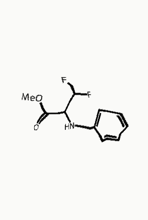 COC(=O)C(Nc1ccccc1)C(F)F